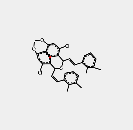 COc1ccc(C(C=Cc2cccc(C)c2C)SC(/C=C\c2cccc(C)c2C)c2ccc(OC)cc2Cl)c(Cl)c1